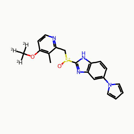 [2H]C([2H])([2H])Oc1ccnc(C[S+]([O-])c2nc3cc(-n4cccc4)ccc3[nH]2)c1C